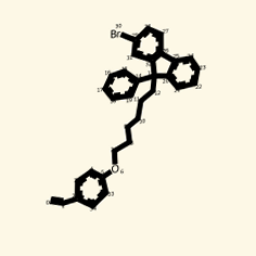 C=Cc1ccc(OCCCCCCC2(c3ccccc3)c3ccccc3-c3ccc(Br)cc32)cc1